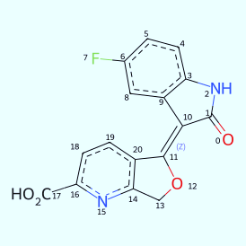 O=C1Nc2ccc(F)cc2/C1=C1/OCc2nc(C(=O)O)ccc21